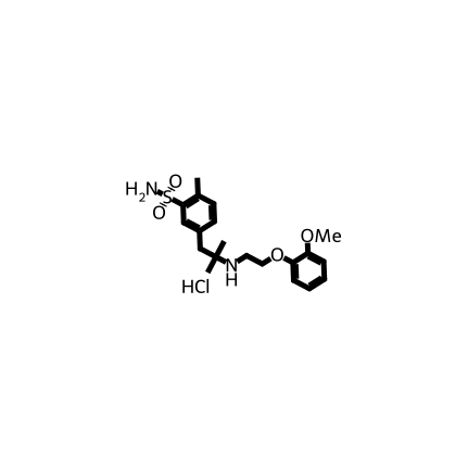 COc1ccccc1OCCNC(C)(C)Cc1ccc(C)c(S(N)(=O)=O)c1.Cl